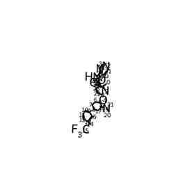 Cc1nc(O[C@H]2CC[C@H](c3cccc(CC(F)(F)F)c3)C[C@@H]2N(C)C)ccc1S(=O)(=O)Nc1ccncn1